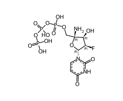 N[C@]1(COP(=O)(O)OP(=O)(O)OP(=O)(O)O)O[C@@H](n2ccc(=O)[nH]c2=O)[C@H](F)[C@@H]1O